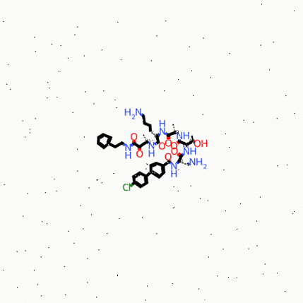 C[C@H](NC(=O)[C@@H](NC(=O)[C@H](CN)NC(=O)c1ccc(-c2ccc(Cl)cc2)cc1)[C@@H](C)O)C(=O)N[C@@H](CCCCN)C(=O)N[C@@H](C)C(=O)C(=O)NCCc1ccccc1